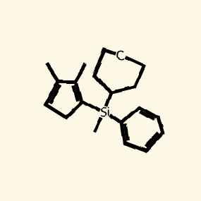 CC1=CCC([Si](C)(c2ccccc2)C2CCCCC2)=C1C